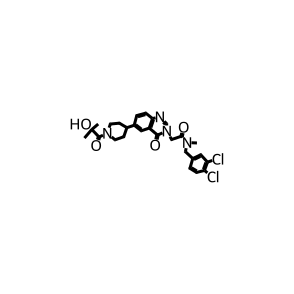 CN(Cc1ccc(Cl)c(Cl)c1)C(=O)Cn1cnc2ccc(C3CCN(C(=O)C(C)(C)O)CC3)cc2c1=O